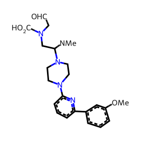 CNC(CN(CC=O)C(=O)O)N1CCN(c2cccc(-c3cccc(OC)c3)n2)CC1